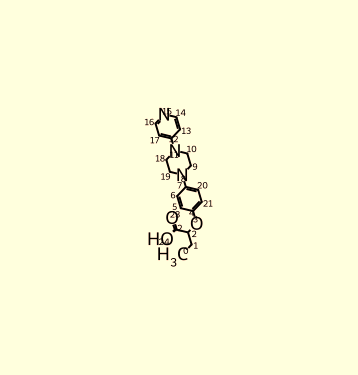 CCC(Oc1ccc(N2CCN(c3ccncc3)CC2)cc1)C(=O)O